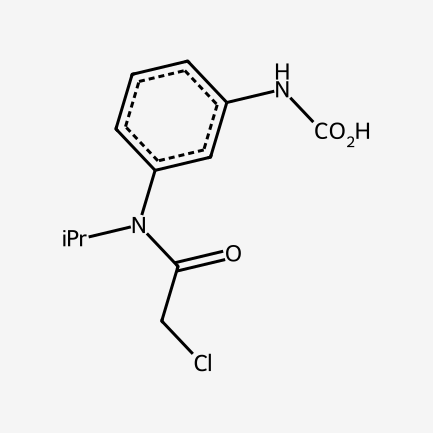 CC(C)N(C(=O)CCl)c1cccc(NC(=O)O)c1